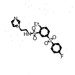 CCc1ccc(S(=O)(=O)c2ccc(F)cc2)cc1S(=O)(=O)NCCn1ccnc1